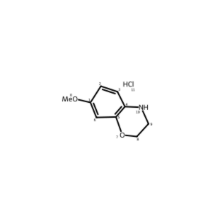 COc1ccc2c(c1)OCCN2.Cl